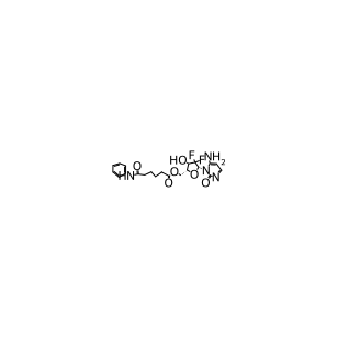 Nc1ccnc(=O)n1[C@@H]1O[C@H](COC(=O)CCCCC(=O)Nc2ccccc2)[C@@H](O)C1(F)F